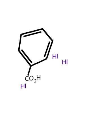 I.I.I.O=C(O)c1ccccc1